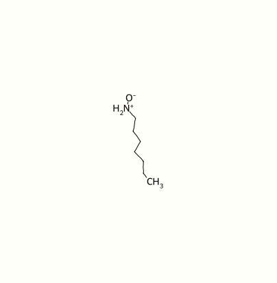 CCCCCCC[NH2+][O-]